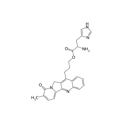 Cc1ccc2n(c1=O)Cc1c-2nc2ccccc2c1CCCOC(=O)C(N)Cc1c[nH]cn1